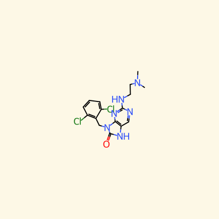 CN(C)CCNc1ncc2[nH]c(=O)n(Cc3c(Cl)cccc3Cl)c2n1